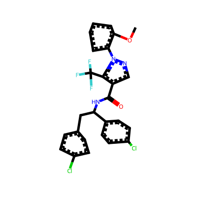 COc1ccccc1-n1ncc(C(=O)NC(Cc2ccc(Cl)cc2)c2ccc(Cl)cc2)c1C(F)(F)F